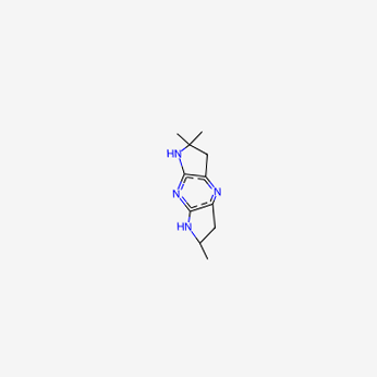 CC1Cc2nc3c(nc2N1)NC(C)(C)C3